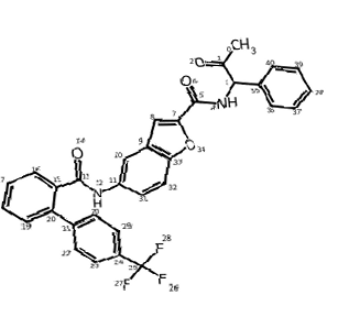 CC(=O)C(NC(=O)c1cc2cc(NC(=O)c3ccccc3-c3ccc(C(F)(F)F)cc3)ccc2o1)c1ccccc1